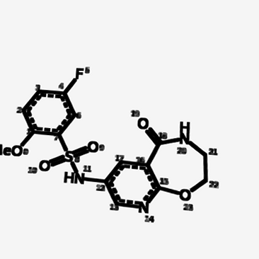 COc1ccc(F)cc1S(=O)(=O)Nc1cnc2c(c1)C(=O)NCCO2